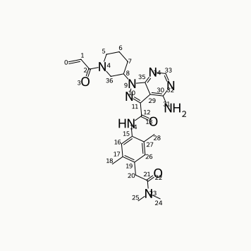 C=CC(=O)N1CCCC(n2nc(C(=O)Nc3cc(C)c(CC(=O)N(C)C)cc3C)c3c(N)ncnc32)C1